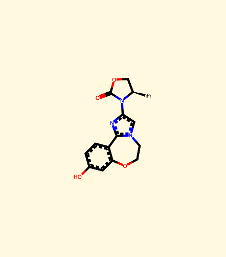 CC(C)[C@@H]1COC(=O)N1c1cn2c(n1)-c1ccc(O)cc1OCC2